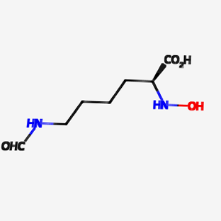 O=CNCCCC[C@H](NO)C(=O)O